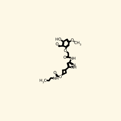 CCCNC(=O)OC1CC(c2cc(NC(=O)COc3cc(OC)cc(O)c3C=O)n[nH]2)C1